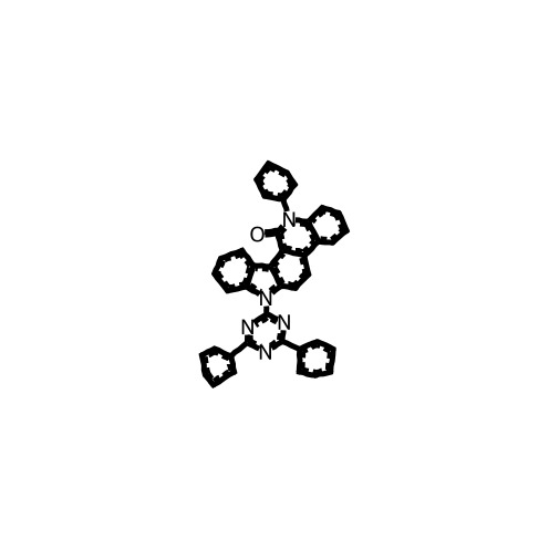 O=c1c2c(ccc3c2c2ccccc2n3-c2nc(-c3ccccc3)nc(-c3ccccc3)n2)c2ccccc2n1-c1ccccc1